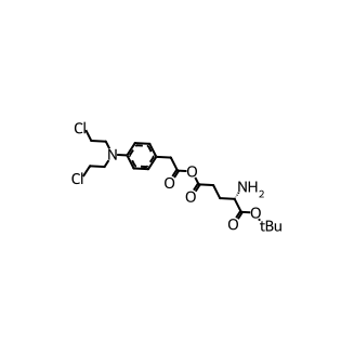 CC(C)(C)OC(=O)[C@@H](N)CCC(=O)OC(=O)Cc1ccc(N(CCCl)CCCl)cc1